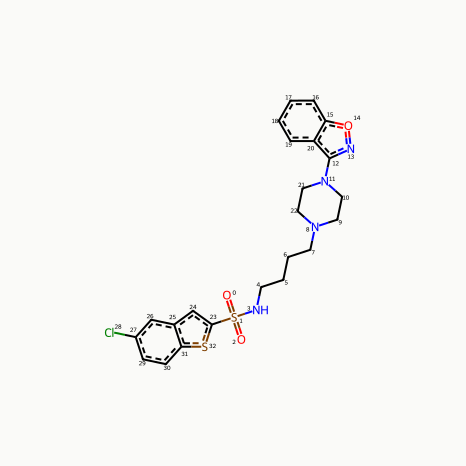 O=S(=O)(NCCCCN1CCN(c2noc3ccccc23)CC1)c1cc2cc(Cl)ccc2s1